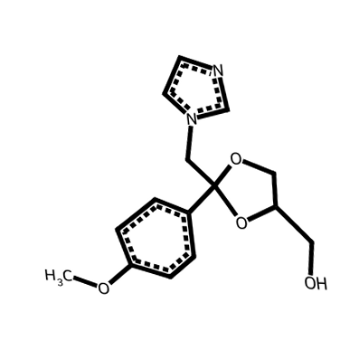 COc1ccc(C2(Cn3ccnc3)OCC(CO)O2)cc1